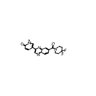 Cn1cc(-c2cnc3ccc(C(=O)N4CCC(F)(F)CC4)cc3n2)ccc1=O